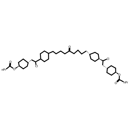 CCCC(=O)O[C@H]1CC[C@H](CC(Cl)C2CCC(CCCCC(=O)CCCC[C@H]3CC[C@H](C(Cl)C[C@H]4CC[C@H](OC(=O)CCC)CC4)CC3)CC2)CC1